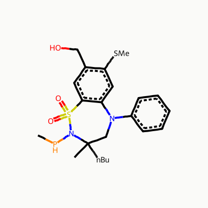 CCCCC1(C)CN(c2ccccc2)c2cc(SC)c(CO)cc2S(=O)(=O)N1PC